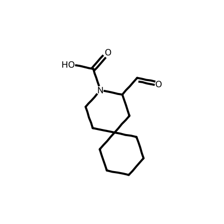 O=CC1CC2(CCCCC2)CCN1C(=O)O